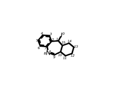 IC1c2ccccc2N=CC2CCCCC21